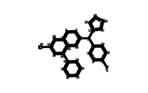 Fc1ccc(C(c2ccc3nc(Cl)cc(-c4ccccc4)c3c2)n2ccnc2)cc1